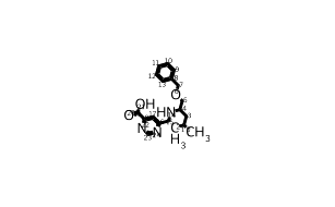 CC(C)CC(COCc1ccccc1)NCc1cc(C(=O)O)ncn1